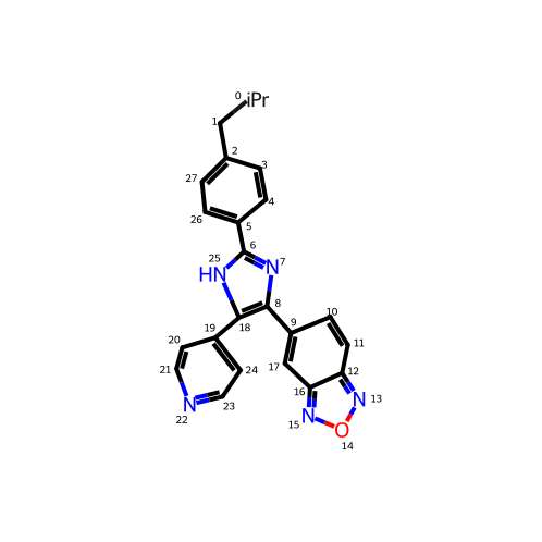 CC(C)Cc1ccc(-c2nc(-c3ccc4nonc4c3)c(-c3ccncc3)[nH]2)cc1